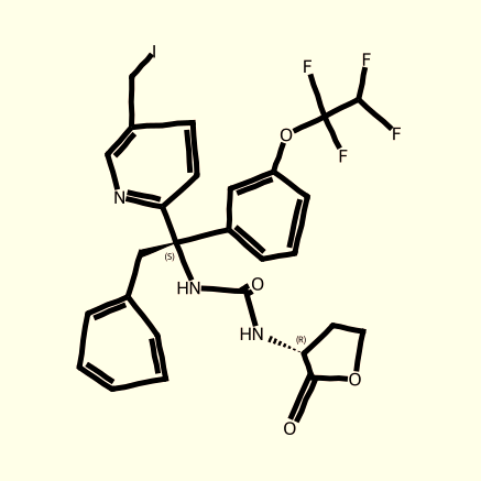 O=C(N[C@@H]1CCOC1=O)N[C@@](Cc1ccccc1)(c1cccc(OC(F)(F)C(F)F)c1)c1ccc(CI)cn1